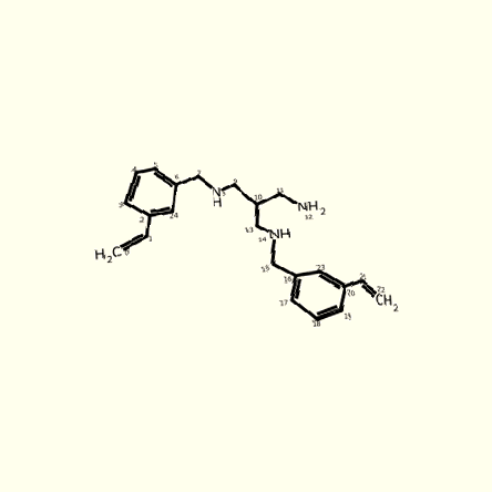 C=Cc1cccc(CNCC(CN)CNCc2cccc(C=C)c2)c1